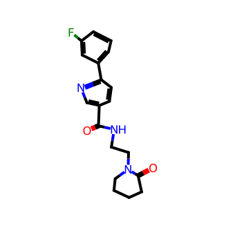 O=C(NCCN1CCCCC1=O)c1ccc(-c2cccc(F)c2)nc1